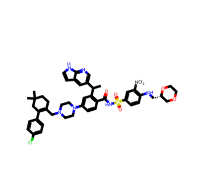 CC(c1cnc2[nH]ccc2c1)c1cc(N2CCN(CC3=C(c4ccc(Cl)cc4)CC(C)(C)CC3)CC2)ccc1C(=O)NS(=O)(=O)c1ccc(NC[C@H]2COCCO2)c([N+](=O)[O-])c1